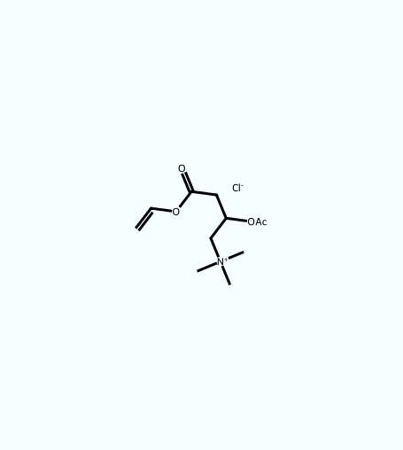 C=COC(=O)CC(C[N+](C)(C)C)OC(C)=O.[Cl-]